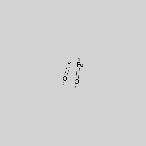 [O]=[Fe].[O]=[Y]